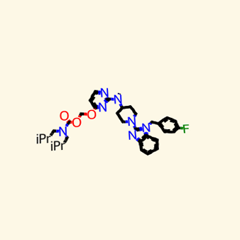 CC(C)CN(CC(C)C)C(=O)OCOc1ccnc(N(C)C2CCN(c3nc4ccccc4n3Cc3ccc(F)cc3)CC2)n1